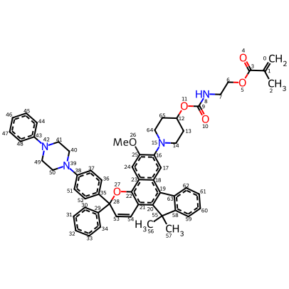 C=C(C)C(=O)OCCNC(=O)OC1CCN(c2cc3c4c(c5c(c3cc2OC)OC(c2ccccc2)(c2ccc(N3CCN(c6ccccc6)CC3)cc2)C=C5)C(C)(C)c2ccccc2-4)CC1